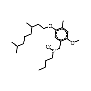 CCCC[S+]([O-])Cc1cc(OCCC(C)CCCC(C)C)c(C)cc1OC